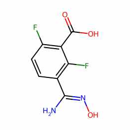 N/C(=N\O)c1ccc(F)c(C(=O)O)c1F